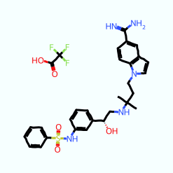 CC(C)(CCn1ccc2cc(C(=N)N)ccc21)NC[C@H](O)c1cccc(NS(=O)(=O)c2ccccc2)c1.O=C(O)C(F)(F)F